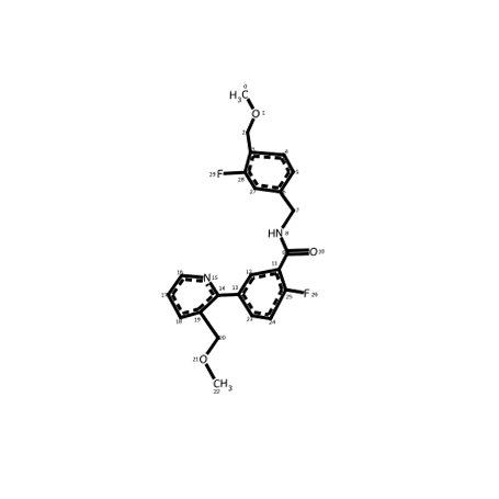 COCc1ccc(CNC(=O)c2cc(-c3ncccc3COC)ccc2F)cc1F